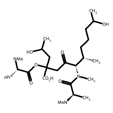 CCC[C@H](NC)C(=O)OC(CC(=O)[C@H]([C@@H](C)CCCC(C)O)N(C)C(=O)[C@@H](C)NC)(CC(C)O)C(=O)O